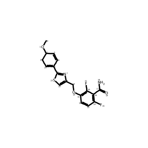 COC1C=CC(c2nc(COc3ccc(F)c(C(N)=O)c3F)cs2)=CC1